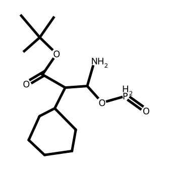 CC(C)(C)OC(=O)C(C1CCCCC1)C(N)O[PH2]=O